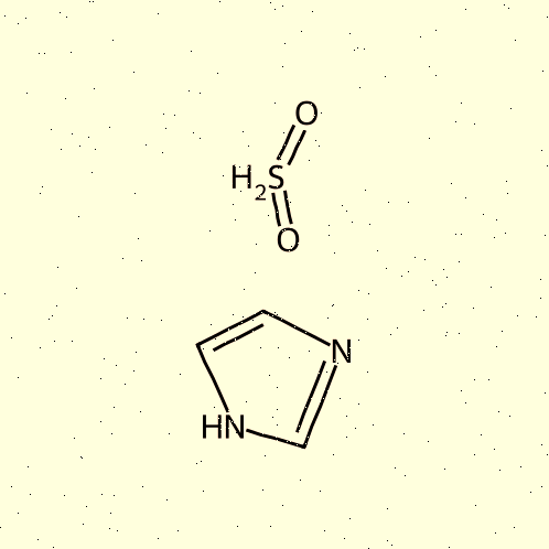 O=[SH2]=O.c1c[nH]cn1